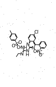 CCN=C(NOS(=O)(=O)c1ccc(C)cc1)Nc1nc(-c2ccccc2[N+](=O)[O-])c2cc(Cl)ccc2n1